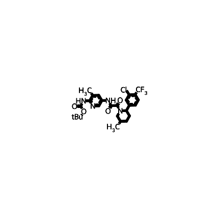 Cc1cc(NC(=O)C(=O)N2CC(C)CCC2c2ccc(C(F)(F)F)c(Cl)c2)cnc1NC(=O)OC(C)(C)C